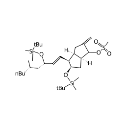 C=C1C[C@@H]2[C@H](/C=C/[C@H](C[C@@H](C)CCCC)O[Si](C)(C)C(C)(C)C)[C@H](O[Si](C)(C)C(C)(C)C)C[C@@H]2C1OS(C)(=O)=O